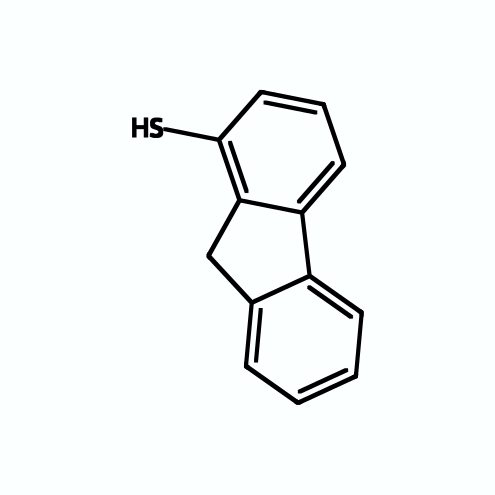 Sc1cccc2c1Cc1ccccc1-2